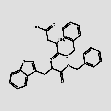 NC(CC(=O)O)C(=NC(Cc1c[nH]c2ccccc12)C(=O)OCc1ccccc1)OCc1ccccc1